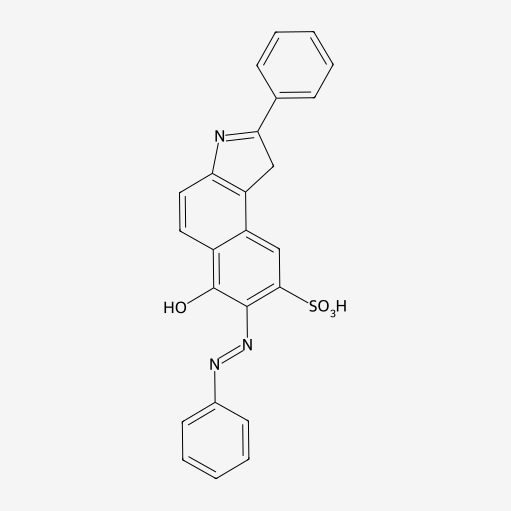 O=S(=O)(O)c1cc2c3c(ccc2c(O)c1/N=N/c1ccccc1)N=C(c1ccccc1)C3